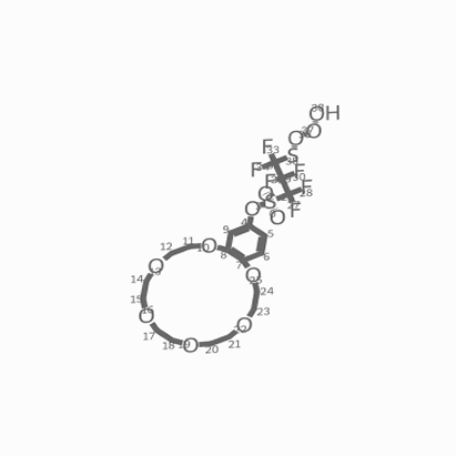 O=S(=O)(Oc1ccc2c(c1)OCCOCCOCCOCCOCCO2)C(F)(F)C(F)(F)C(F)(F)SOOO